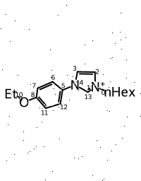 CCCCCC[n+]1ccn(-c2ccc(OCC)cc2)c1